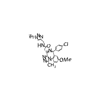 COc1ccc2c(c1)C(c1ccc(Cl)cc1)=N[C@@H](CC(=O)NCc1cn(C(C)C)nn1)c1nnc(C)n1-2